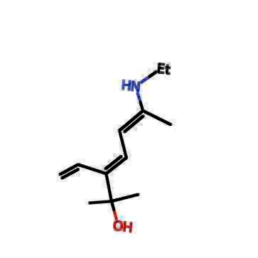 C=C/C(=C\C=C(/C)NCC)C(C)(C)O